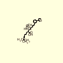 CC(C)(C)C#C/C=C/CC(C(=O)O)C(O)CCC/C=C/c1cccc(-c2ccsc2)c1.COC